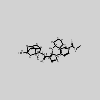 COC(=O)c1ccc(-n2ncc(C(=O)N[C@H]3C4CC5CC3C[C@@](O)(C5)C4)c2SC2CCCCC2)cc1